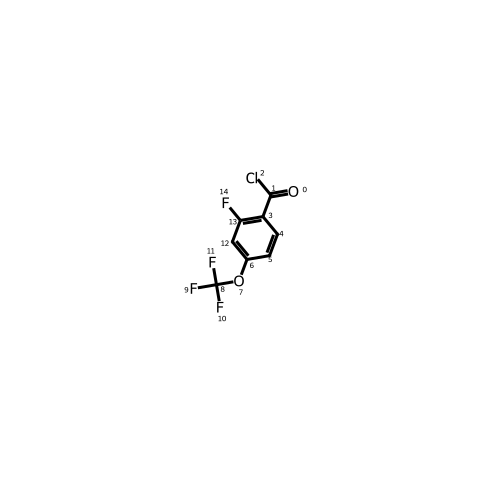 O=C(Cl)c1ccc(OC(F)(F)F)cc1F